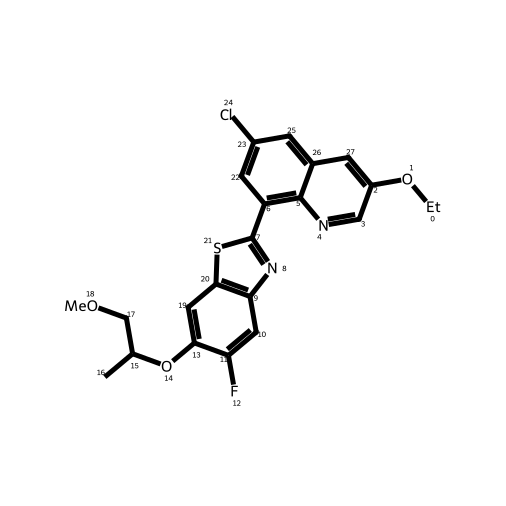 CCOc1cnc2c(-c3nc4cc(F)c(OC(C)COC)cc4s3)cc(Cl)cc2c1